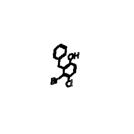 Oc1ccc(Cl)c(Br)c1Cc1ccccc1